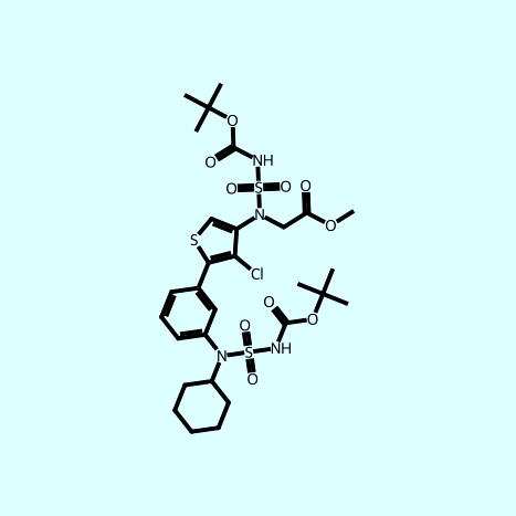 COC(=O)CN(c1csc(-c2cccc(N(C3CCCCC3)S(=O)(=O)NC(=O)OC(C)(C)C)c2)c1Cl)S(=O)(=O)NC(=O)OC(C)(C)C